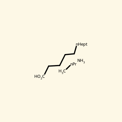 CCCC.CCCCCCCCCCCC(=O)O.N